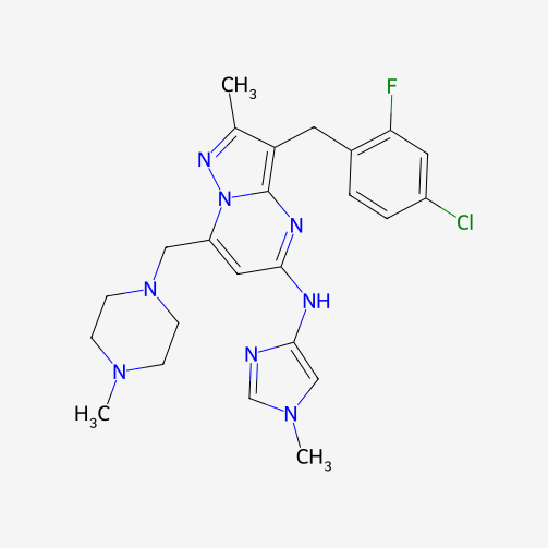 Cc1nn2c(CN3CCN(C)CC3)cc(Nc3cn(C)cn3)nc2c1Cc1ccc(Cl)cc1F